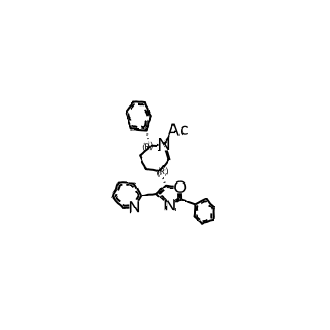 CC(=O)N1C[C@H](c2oc(-c3ccccc3)nc2-c2ccccn2)CC[C@@H]1c1ccccc1